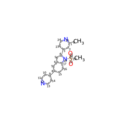 Cc1cc(-c2cc3cc(-c4ccncc4)ccc3n2S(C)(=O)=O)ccn1